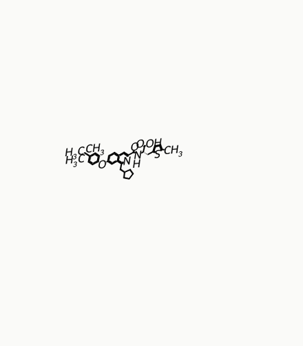 Cc1ccc(C[C@H](NC(=O)c2cc3ccc(Oc4ccc(C(C)(C)C)cc4)cc3c(CC3CCCC3)n2)C(=O)O)s1